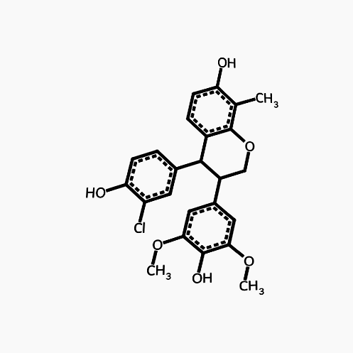 COc1cc(C2COc3c(ccc(O)c3C)C2c2ccc(O)c(Cl)c2)cc(OC)c1O